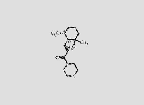 C[C@@H]1CCCC(C)(C)[C@H]1C=CC(=O)N1CCSCC1